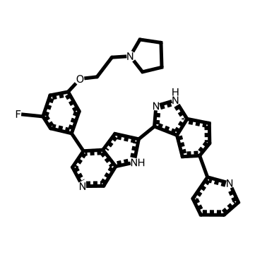 Fc1cc(OCCN2CCCC2)cc(-c2cncc3[nH]c(-c4n[nH]c5ccc(-c6ccccn6)cc45)cc23)c1